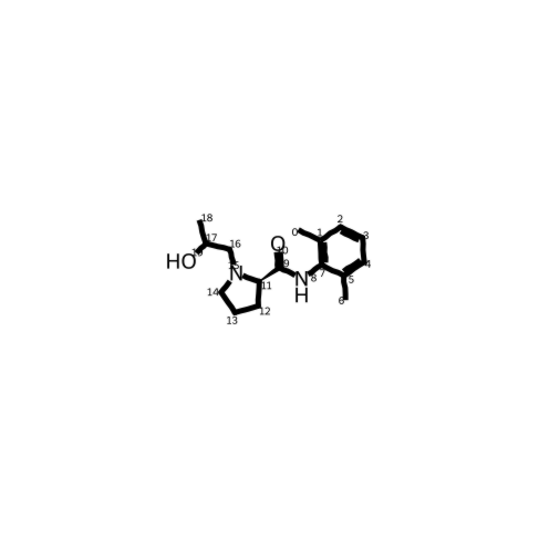 Cc1cccc(C)c1NC(=O)[C@H]1CCCN1CC(C)O